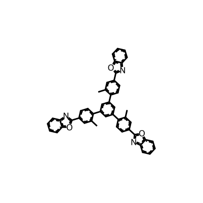 Cc1cc(-c2nc3ccccc3o2)ccc1-c1cc(-c2ccc(-c3nc4ccccc4o3)cc2C)cc(-c2ccc(-c3nc4ccccc4o3)cc2C)c1